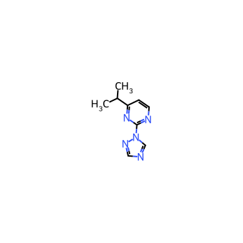 CC(C)c1ccnc(-n2cncn2)n1